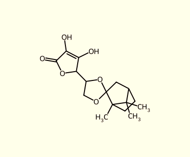 CC1(C)C2CCC1(C)C1(C2)OCC(C2OC(=O)C(O)=C2O)O1